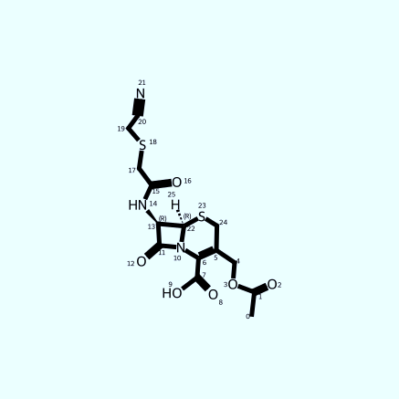 CC(=O)OCC1=C(C(=O)O)N2C(=O)[C@@H](NC(=O)CSCC#N)[C@H]2SC1